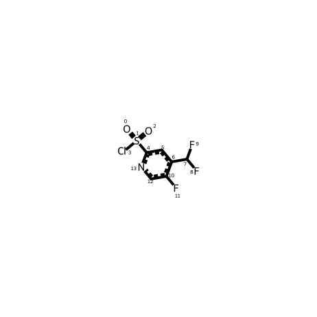 O=S(=O)(Cl)c1cc(C(F)F)c(F)cn1